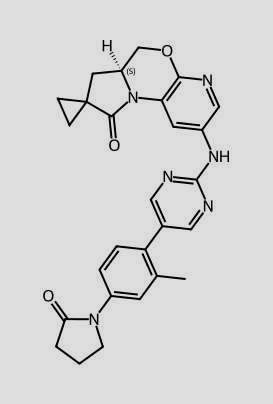 Cc1cc(N2CCCC2=O)ccc1-c1cnc(Nc2cnc3c(c2)N2C(=O)C4(CC4)C[C@H]2CO3)nc1